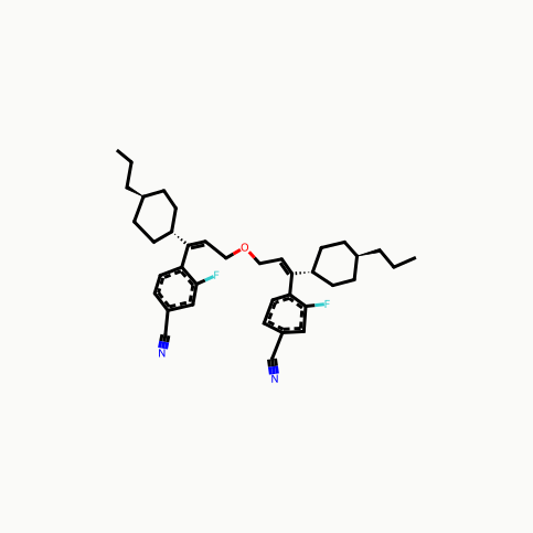 CCC[C@H]1CC[C@H](C(=CCOCC=C(c2ccc(C#N)cc2F)[C@H]2CC[C@H](CCC)CC2)c2ccc(C#N)cc2F)CC1